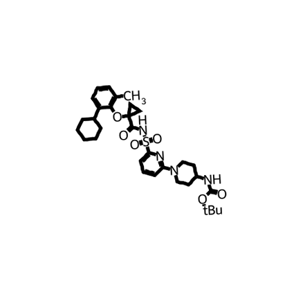 Cc1cccc(C2CCCCC2)c1OC1(C(=O)NS(=O)(=O)c2cccc(N3CCC(NC(=O)OC(C)(C)C)CC3)n2)CC1